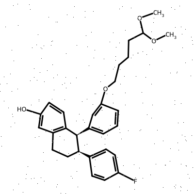 COC(CCCCOc1cccc([C@@H]2c3ccc(O)cc3CC[C@@H]2c2ccc(F)cc2)c1)OC